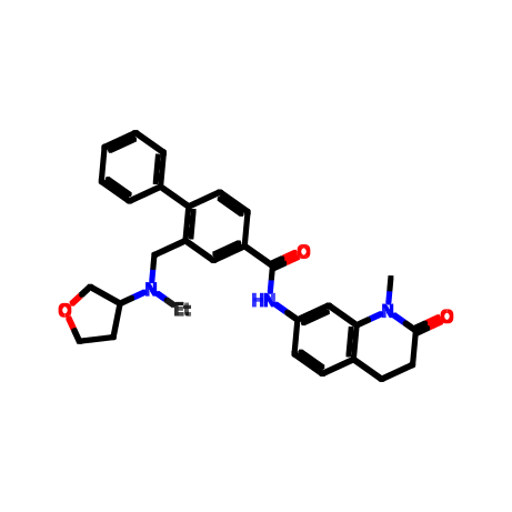 CCN(Cc1cc(C(=O)Nc2ccc3c(c2)N(C)C(=O)CC3)ccc1-c1ccccc1)C1CCOC1